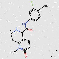 Cn1c2c(ccc1=O)C(C(=O)Nc1ccc(C(C)(C)C)c(F)c1)NCC2